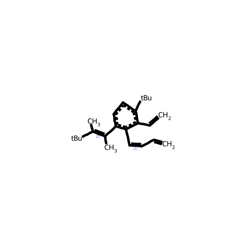 C=C/C=C\c1c(/C(C)=C(\C)C(C)(C)C)ccc(C(C)(C)C)c1C=C